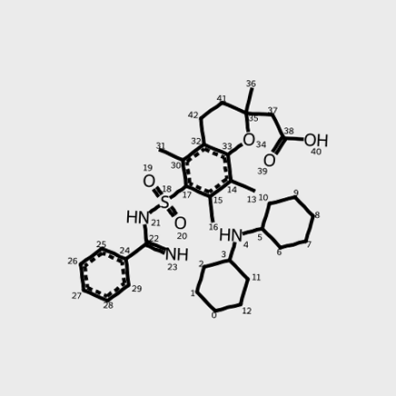 C1CCC(NC2CCCCC2)CC1.Cc1c(C)c(S(=O)(=O)NC(=N)c2ccccc2)c(C)c2c1OC(C)(CC(=O)O)CC2